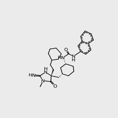 CN1C(=N)N[C@](CCC2CCCCC2)(C[C@H]2CCC[C@@H](NC(=O)Nc3ccc4ccccc4c3)C2)C1=O